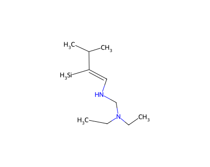 CCN(CC)CNC=C([SiH3])C(C)C